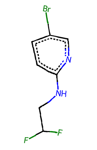 FC(F)CNc1ccc(Br)cn1